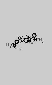 CN(C)c1cccc(Cn2c3ncnc4c(ncn4Cc4ccccc4N(C)C)c-3nc2=O)c1